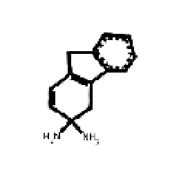 NC1(N)C=CC2=C(C1)c1ccccc1C2